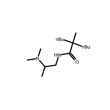 CCCCC(C)(CCCC)C(=O)NCC(C)N(C)C